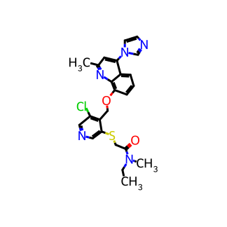 CCN(C)C(=O)CSc1cncc(Cl)c1COc1cccc2c(-n3ccnc3)cc(C)nc12